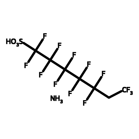 N.O=S(=O)(O)C(F)(F)C(F)(F)C(F)(F)C(F)(F)C(F)(F)CC(F)(F)F